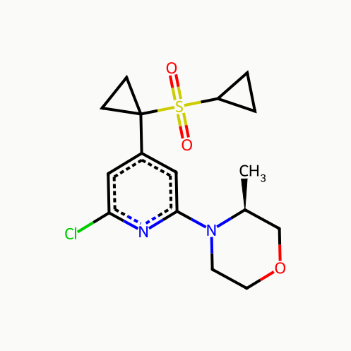 C[C@H]1COCCN1c1cc(C2(S(=O)(=O)C3CC3)CC2)cc(Cl)n1